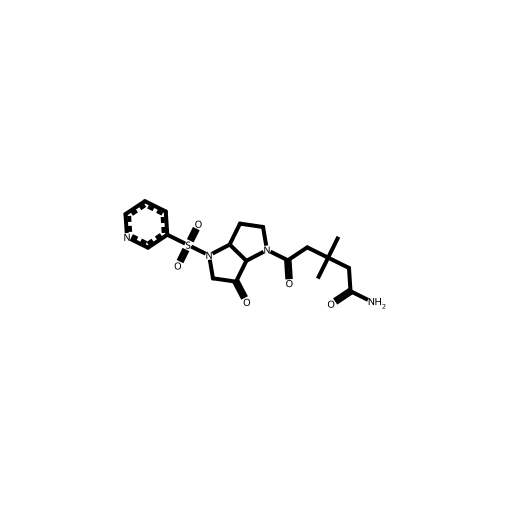 CC(C)(CC(N)=O)CC(=O)N1CCC2C1C(=O)CN2S(=O)(=O)c1cccnc1